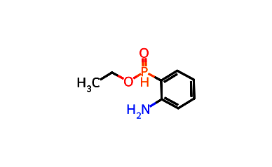 CCO[PH](=O)c1ccccc1N